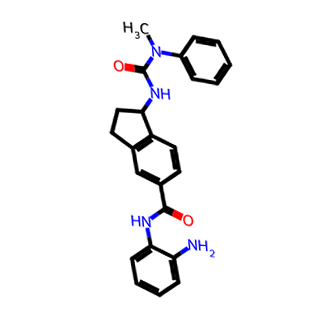 CN(C(=O)NC1CCc2cc(C(=O)Nc3ccccc3N)ccc21)c1ccccc1